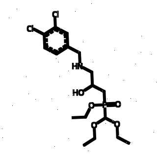 CCOC(OCC)P(=O)(CC(O)CNCc1ccc(Cl)c(Cl)c1)OCC